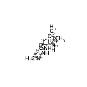 CCC(=O)N(C)[C@@]1(Cc2ccc(F)c(NC(=O)Nc3ccc(C)nc3)c2)CCNC1